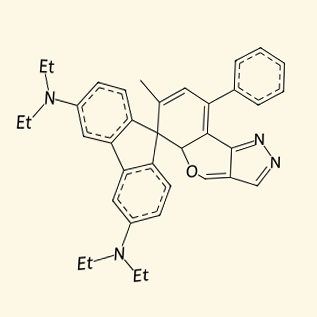 CCN(CC)c1ccc2c(c1)-c1cc(N(CC)CC)ccc1C21C(C)=CC(c2ccccc2)=C2C3=NN=CC3=COC21